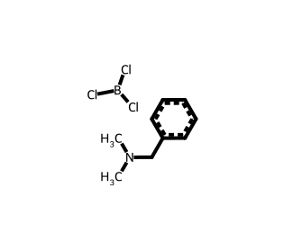 CN(C)Cc1ccccc1.ClB(Cl)Cl